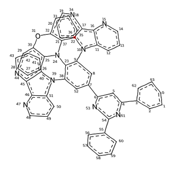 c1ccc(-c2cc(-c3cc(-n4c5cccnc5c5ncccc54)c(N4c5ccccc5Oc5ccccc54)c(-n4c5cccnc5c5ncccc54)c3)nc(-c3ccccc3)n2)cc1